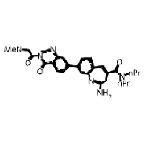 CCCN(CCC)C(=O)C1=Cc2ccc(-c3ccc4c(=O)n(C(=O)CNC)cnc4c3)cc2N=C(N)C1